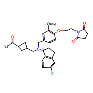 CCC(=O)C1CC(CN(Cc2ccc(OCCN3C(=O)CCC3=O)c(OC)c2)[C@H]2CCc3cc(Cl)ccc32)C1